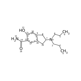 CCCN(CCC)C1Cc2cc(O)c(C(N)=O)cc2C1